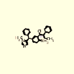 CC/C(=C(/Cl)c1cc(C(c2ccccc2)c2cncn2C)ccc1N)c1ccccc1